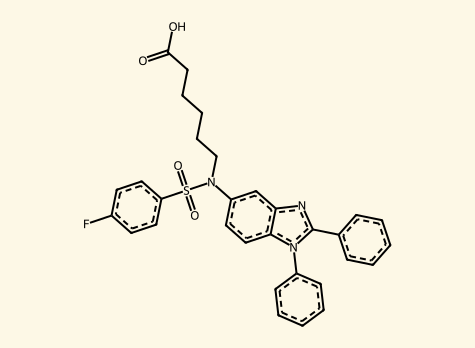 O=C(O)CCCCCN(c1ccc2c(c1)nc(-c1ccccc1)n2-c1ccccc1)S(=O)(=O)c1ccc(F)cc1